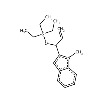 C=CC(O[Si](CC)(CC)CC)c1cc2ccccc2n1C